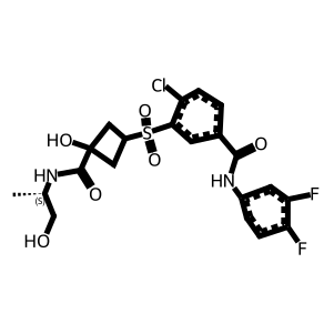 C[C@@H](CO)NC(=O)C1(O)CC(S(=O)(=O)c2cc(C(=O)Nc3ccc(F)c(F)c3)ccc2Cl)C1